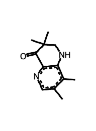 Cc1cnc2c(c1C)NCC(C)(C)C2=O